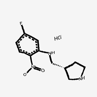 Cl.O=[N+]([O-])c1ccc(F)cc1NC[C@@H]1CCNC1